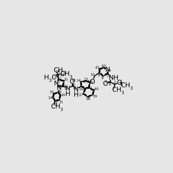 COC(C)C(=O)Nc1cc(COc2ccc(NC(=O)Nc3cc(C(C)(C)C)nn3-c3ccc(C)cc3)c3ccccc23)ccn1